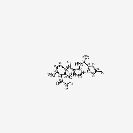 CCC(Nc1nsnc1Nc1ccc(C(C)(C)C)c(C(=O)N(C)C)c1O)c1cc(C)co1